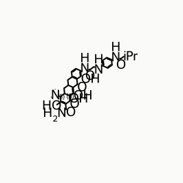 CC(C)C(=O)Nc1ccc(NCC(=O)Nc2ccc3c(c2O)C(=O)C2=C(O)[C@]4(O)C(=O)C(C(N)=O)=C(O)[C@@H](N(C)C)C4CC2C3)cc1